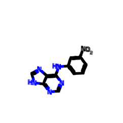 O=[N+]([O-])c1cccc(Nc2ncnc3[nH]cnc23)c1